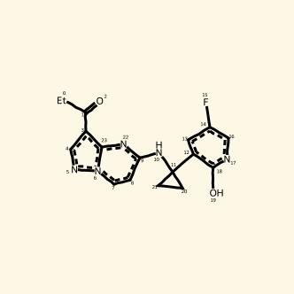 CCC(=O)c1cnn2ccc(NC3(c4cc(F)cnc4O)CC3)nc12